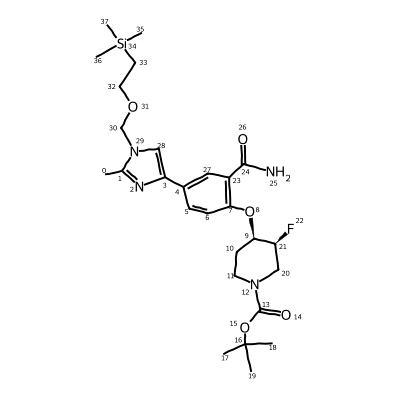 Cc1nc(-c2ccc(O[C@@H]3CCN(C(=O)OC(C)(C)C)C[C@@H]3F)c(C(N)=O)c2)cn1COCC[Si](C)(C)C